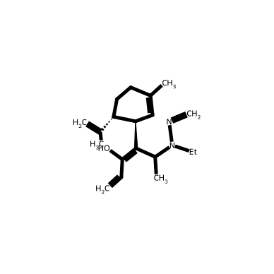 C=C/C(O)=C(\C(C)N(CC)N=C)[C@@H]1C=C(C)CC[C@H]1C(=C)C